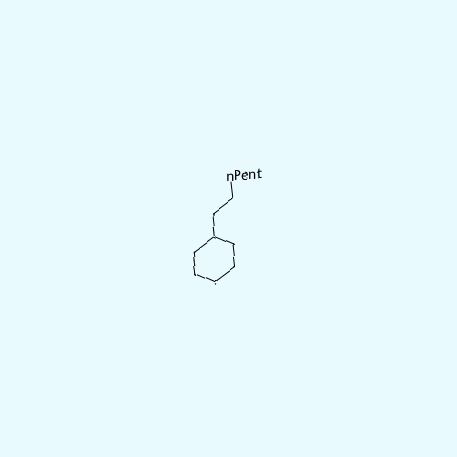 CCCCCCCC1CC[CH]CC1